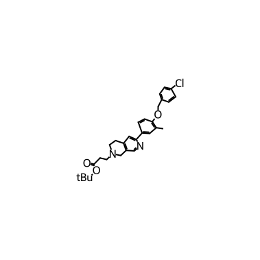 Cc1cc(-c2cc3c(cn2)CN(CCC(=O)OC(C)(C)C)CC3)ccc1OCc1ccc(Cl)cc1